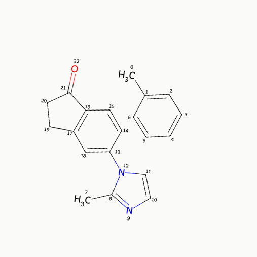 Cc1ccccc1.Cc1nccn1-c1ccc2c(c1)CCC2=O